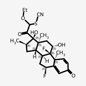 CCOC(SC#N)C(=O)[C@@]1(O)[C@H](C)C[C@H]2[C@@H]3C[C@H](F)C4=CC(=O)C=C[C@]4(C)[C@@]3(F)[C@@H](O)C[C@@]21C